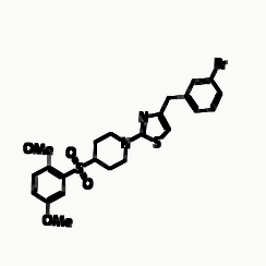 COc1ccc(OC)c(S(=O)(=O)C2CCN(c3nc(Cc4cccc(Br)c4)cs3)CC2)c1